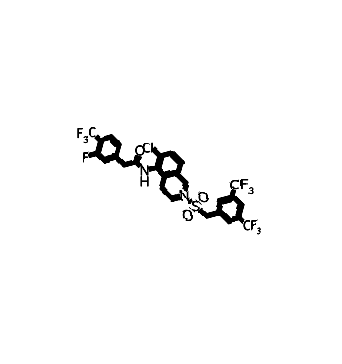 O=C(Cc1ccc(C(F)(F)F)c(F)c1)Nc1c(Cl)ccc2c1CCN(S(=O)(=O)Cc1cc(C(F)(F)F)cc(C(F)(F)F)c1)C2